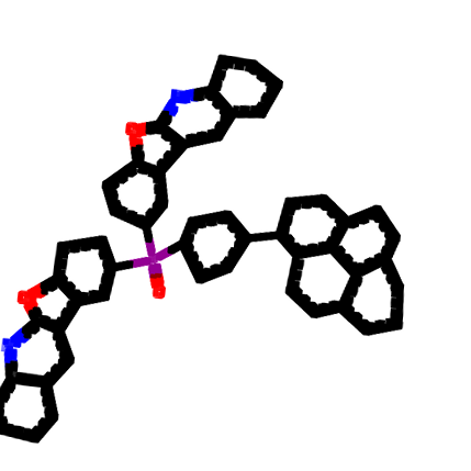 O=P(c1ccc(-c2ccc3ccc4cccc5ccc2c3c45)cc1)(c1ccc2oc3nc4ccccc4cc3c2c1)c1ccc2oc3nc4ccccc4cc3c2c1